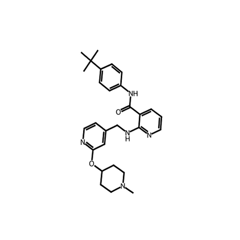 CN1CCC(Oc2cc(CNc3ncccc3C(=O)Nc3ccc(C(C)(C)C)cc3)ccn2)CC1